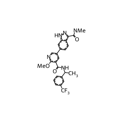 CNC(=O)c1n[nH]c2cc(-c3cnc(OC)c(C(=O)NC(C)c4cccc(C(F)(F)F)c4)c3)ccc12